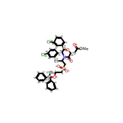 CCC(CS(=O)(=O)CCO[Si](c1ccccc1)(c1ccccc1)C(C)(C)C)N1C(=O)[C@@H](CC(=O)OC)O[C@H](c2cccc(Cl)c2)[C@H]1c1ccc(Cl)cc1